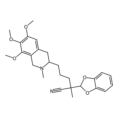 COc1cc2c(c(OC)c1OC)CN(C)C(CCCC(C)(C#N)C1Oc3ccccc3O1)C2